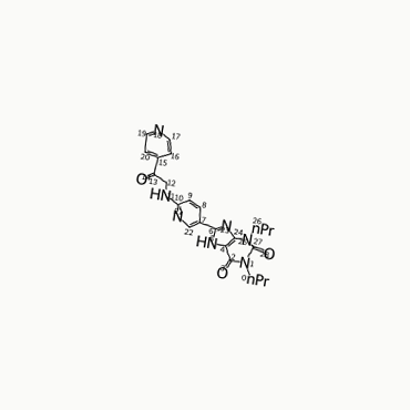 CCCn1c(=O)c2[nH]c(-c3ccc(NCC(=O)c4ccncc4)nc3)nc2n(CCC)c1=O